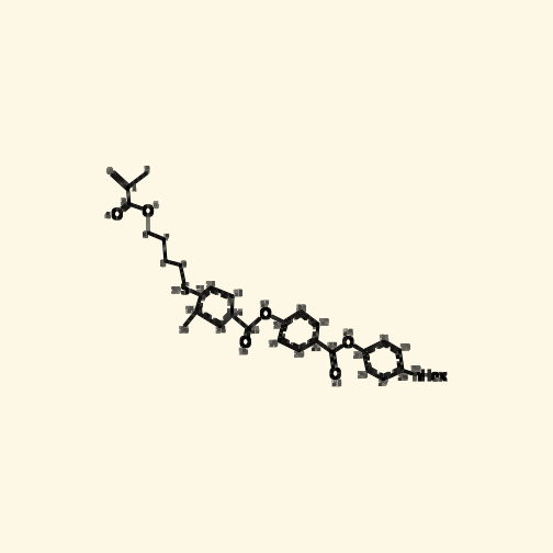 C=C(C)C(=O)OCCCCSc1ccc(C(=O)Oc2ccc(C(=O)Oc3ccc(CCCCCC)cc3)cc2)cc1C